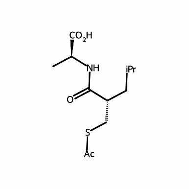 CC(=O)SC[C@@H](CC(C)C)C(=O)N[C@@H](C)C(=O)O